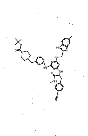 CNC(=O)[C@H](Cc1ccc(C#N)cc1)Nc1nc(NCc2nc3cc(F)ccc3[nH]2)nc(Nc2cccc(CN3CCN(C(=O)OC(C)(C)C)CC3)c2)n1